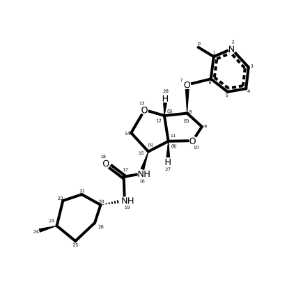 Cc1ncccc1O[C@H]1CO[C@H]2[C@@H]1OC[C@@H]2NC(=O)N[C@H]1CC[C@H](C)CC1